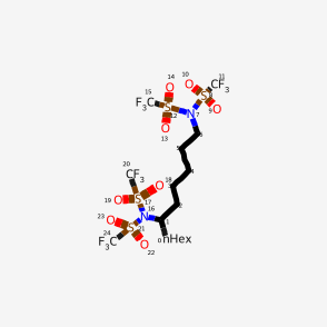 CCCCCCC(CCCCCN(S(=O)(=O)C(F)(F)F)S(=O)(=O)C(F)(F)F)N(S(=O)(=O)C(F)(F)F)S(=O)(=O)C(F)(F)F